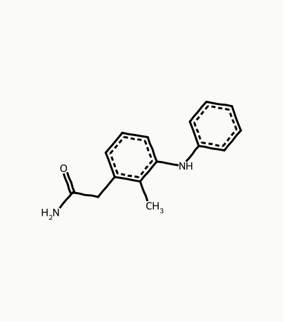 Cc1c(CC(N)=O)cccc1Nc1ccccc1